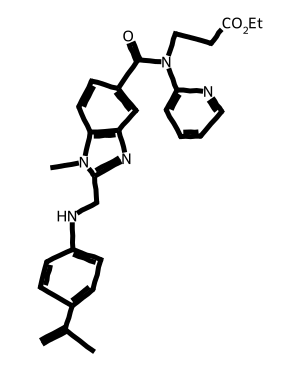 C=C(C)c1ccc(NCc2nc3cc(C(=O)N(CCC(=O)OCC)c4ccccn4)ccc3n2C)cc1